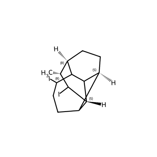 C[C@H]1C(I)[C@H]2C3CCC(I)C4C2[C@H]3CC[C@@H]41